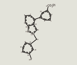 CCOC(=O)c1cccc(-c2cccc3nn(Cc4cccc(F)c4)cc23)c1